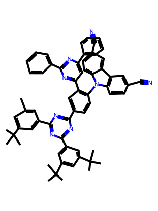 Cc1cc(-c2nc(-c3cc(C(C)(C)C)cc(C(C)(C)C)c3)nc(-c3ccc(-n4c5ccc(C#N)cc5c5cc(C#N)ccc54)c(-c4cc(-c5ccccc5)nc(-c5ccccc5)n4)c3)n2)cc(C(C)(C)C)c1